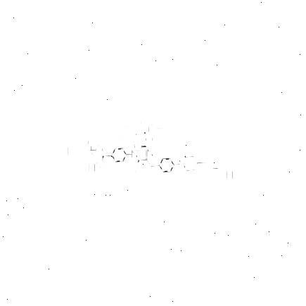 CCOCC1CCN(c2ccc(C[C@H](NC(=O)OC(C)(C)C)C(=O)Nc3ccc(C(=O)OC(C)(C)C)cc3)cc2)C(=O)C1